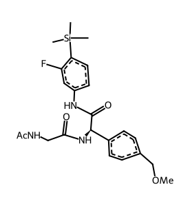 COCc1ccc([C@@H](NC(=O)CNC(C)=O)C(=O)Nc2ccc([Si](C)(C)C)c(F)c2)cc1